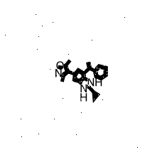 C=C(c1ccccc1)c1cc(-c2c(C)noc2C)cc2c1NC(C1CC1)N2